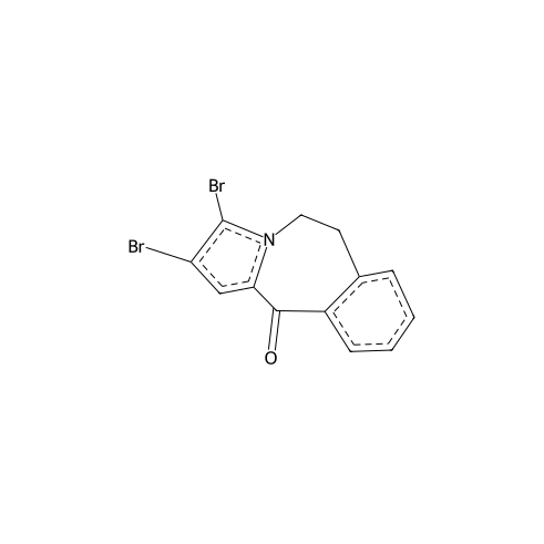 O=C1c2ccccc2CCn2c1cc(Br)c2Br